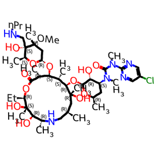 CCCNC[C@]1(O)[C@H](C)O[C@@H](O[C@H]2[C@H](C)[C@@H](O[C@@H]3O[C@H](C)C[C@H](N(C)C(=O)N(C)c4ncc(Cl)cn4)[C@H]3O)[C@](C)(O)C[C@@H](C)CN[C@H](C)[C@@H](O)[C@](C)(O)[C@@H](CC)OC(=O)[C@@H]2C)C[C@@]1(C)OC